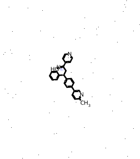 Cc1ccc(-c2ccc(C(C/C(=N\O)c3ccncc3)c3ccccc3)cc2)cn1